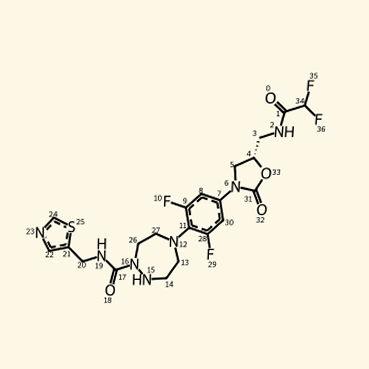 O=C(NC[C@H]1CN(c2cc(F)c(N3CCNN(C(=O)NCc4cncs4)CC3)c(F)c2)C(=O)O1)C(F)F